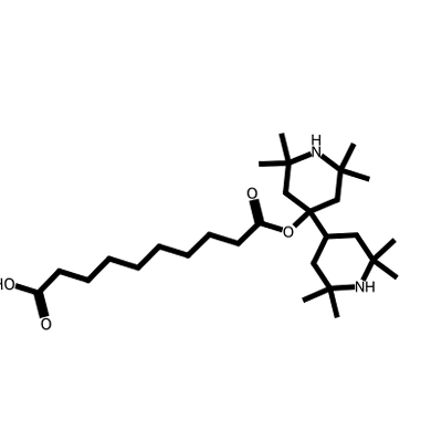 CC1(C)CC(C2(OC(=O)CCCCCCCCC(=O)O)CC(C)(C)NC(C)(C)C2)CC(C)(C)N1